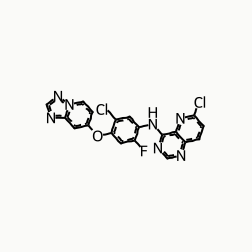 Fc1cc(Oc2ccn3ncnc3c2)c(Cl)cc1Nc1ncnc2ccc(Cl)nc12